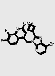 COc1cc(Cn2c(C3=CC=C3)nc3c(Br)ccnc32)c2ccc(F)c(F)c2n1